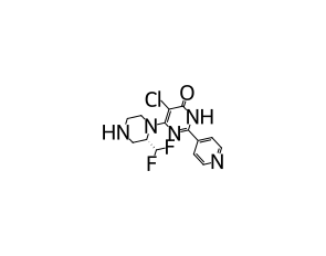 O=c1[nH]c(-c2ccncc2)nc(N2CCNC[C@H]2C(F)F)c1Cl